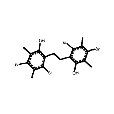 Cc1c(O)c(CCc2c(O)c(C)c(Br)c(C)c2Br)c(Br)c(C)c1Br